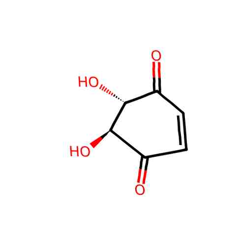 O=C1C=CC(=O)[C@@H](O)[C@@H]1O